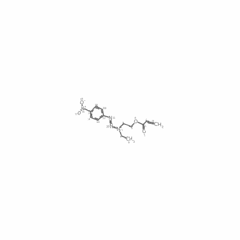 C=CC(=O)OCCN(CC)N=Nc1ccc([N+](=O)[O-])cc1